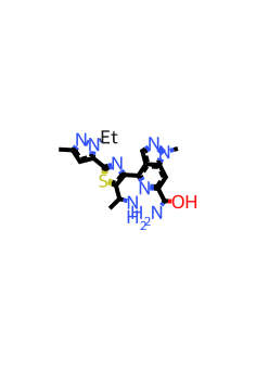 CCn1nc(C)cc1-c1nc(-c2nc(C(N)O)cc3c2cnn3C)c(C(C)N)s1